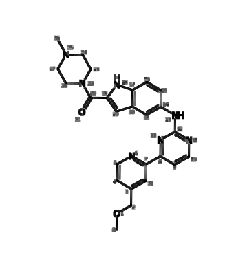 COCc1ccnc(-c2ccnc(Nc3ccc4[nH]c(C(=O)N5CCN(C)CC5)cc4c3)n2)c1